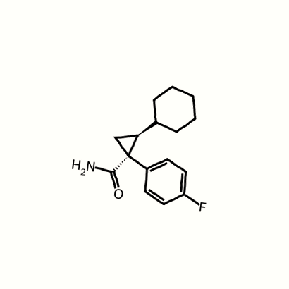 NC(=O)[C@]1(c2ccc(F)cc2)C[C@H]1C1CCCCC1